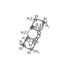 CCC1=C(C)c2cc3[nH]c4c(C)c3CC(C)C3=C(C)c5nc3cc3[nH]c(cc6nc(cc7[nH]c(c(C)c7CC)c5-c5cccc7cc8cccc(c8cc57)-c4c4nc(cc5[nH]c(cc1n2)c(CC)c5C)C(CC)=C4C)C(C)=C6CC)c(CC)c3C